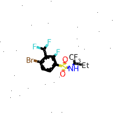 CCC(NS(=O)(=O)c1ccc(Br)c(C(F)F)c1F)C(F)(F)F